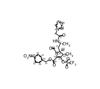 C[C@@H](NC(=O)Cn1cnnn1)[C@H]1C(=O)N2C(C(=O)OCc3ccc([N+](=O)[O-])cc3)=C(OS(=O)(=O)C(F)(F)F)[C@H](C)[C@H]12